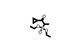 CCOP(=O)(OCC)C(C)C(=O)C1CC1